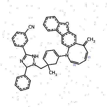 C=C1/C=C\C=C/N(C2=CC=CC(C)(CN3NC(c4cccc(C#N)c4)=NC3c3ccccc3)C2)c2cc3c(cc21)oc1ccccc13